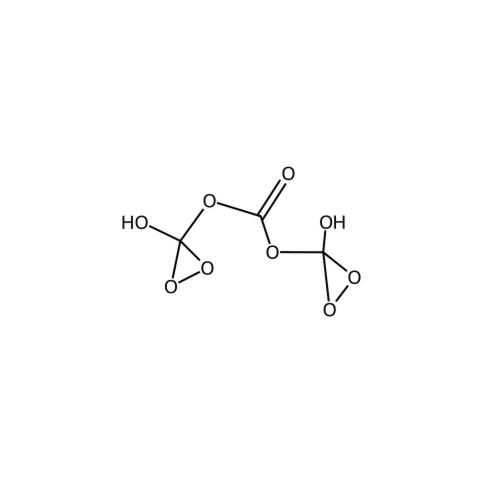 O=C(OC1(O)OO1)OC1(O)OO1